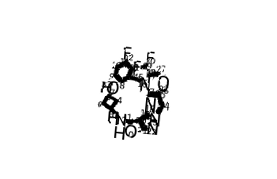 O=C1N[C@H]2C[C@H](C2)Oc2ccc(F)cc2CN2c3nc4c1cnn4cc3OC[C@H]2C(F)F